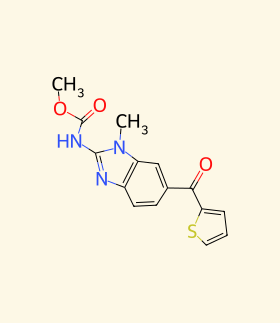 COC(=O)Nc1nc2ccc(C(=O)c3cccs3)cc2n1C